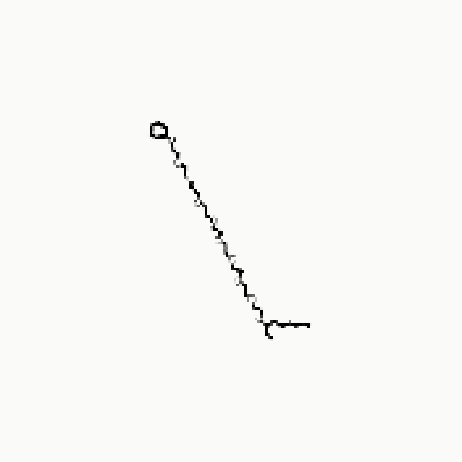 CCCCCCC(CC)OCCOCCOCCOCCOCCOCCOCCOCCOCCOc1ccccc1